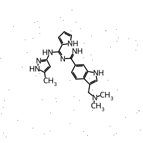 Cc1cc(N/C(=N/C(=N)c2ccc3c(CN(C)C)c[nH]c3c2)c2ccc[nH]2)n[nH]1